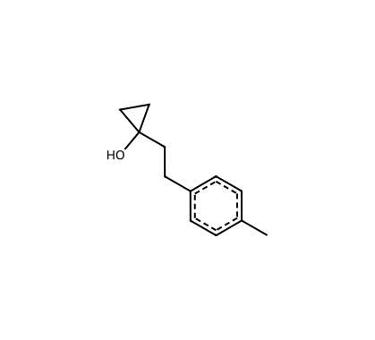 Cc1ccc(CCC2(O)CC2)cc1